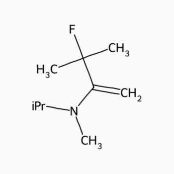 C=C(N(C)C(C)C)C(C)(C)F